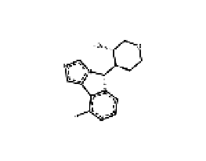 O[C@@H]1COCC[C@H]1[C@@H]1c2cccc(F)c2-c2cncn21